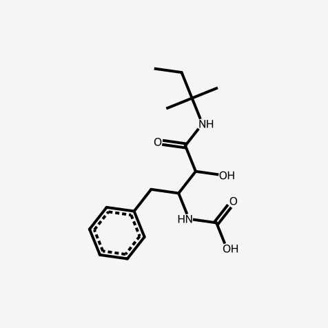 CCC(C)(C)NC(=O)C(O)C(Cc1ccccc1)NC(=O)O